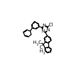 CC1(C)c2ccccc2-c2ccc(-c3nc(Cl)nc(-c4cccc(C5C=CC=CC5)c4)n3)cc21